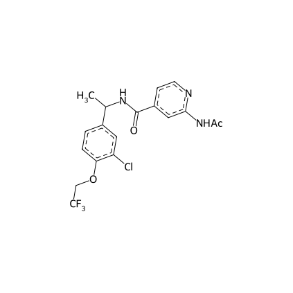 CC(=O)Nc1cc(C(=O)NC(C)c2ccc(OCC(F)(F)F)c(Cl)c2)ccn1